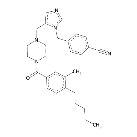 CCCCCc1ccc(C(=O)N2CCN(Cc3cncn3Cc3ccc(C#N)cc3)CC2)cc1C